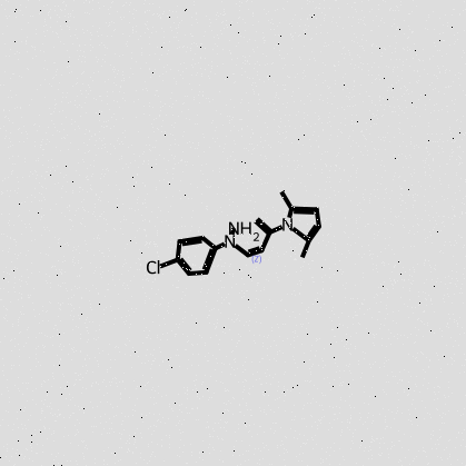 C=C(/C=C\N(N)c1ccc(Cl)cc1)n1c(C)ccc1C